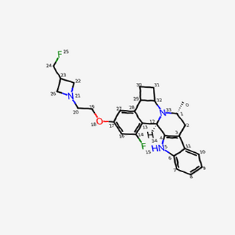 C[C@@H]1Cc2c([nH]c3ccccc23)[C@H]2c3c(F)cc(OCCN4CC(CF)C4)cc3C3CCC3N21